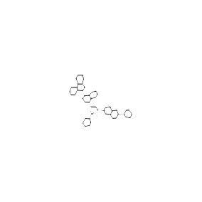 c1ccc(-c2ccc3cc(-c4cc(-c5ccc(-c6cc7ccccc7c7ccccc67)c6ccccc56)nc(-c5ccccc5)n4)ccc3c2)cc1